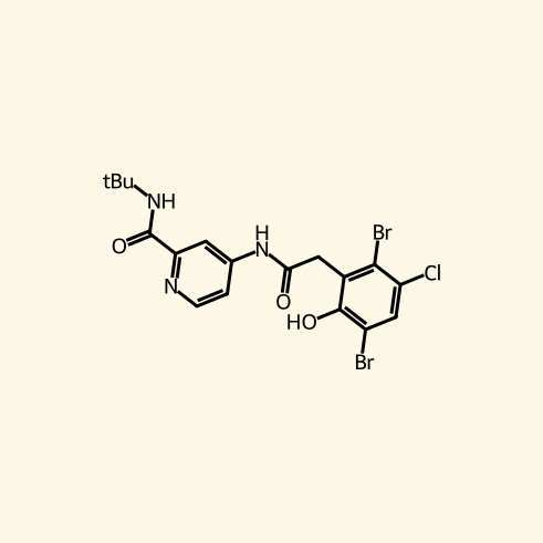 CC(C)(C)NC(=O)c1cc(NC(=O)Cc2c(O)c(Br)cc(Cl)c2Br)ccn1